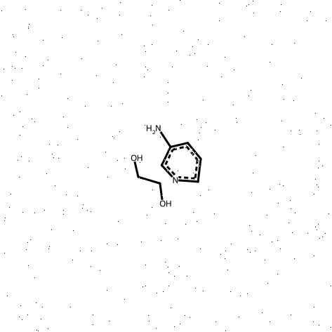 Nc1cccnc1.OCCO